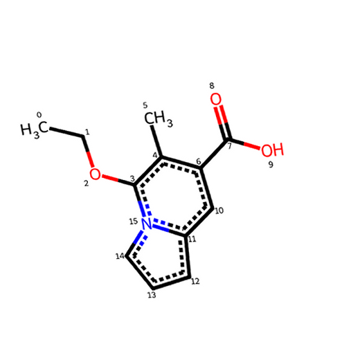 CCOc1c(C)c(C(=O)O)cc2cccn12